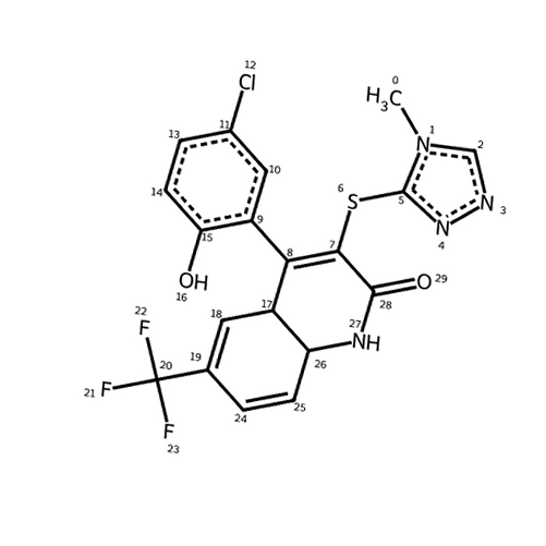 Cn1cnnc1SC1=C(c2cc(Cl)ccc2O)C2C=C(C(F)(F)F)C=CC2NC1=O